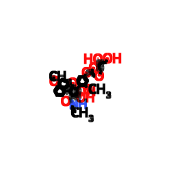 CCNC(=O)[C@H]1[C@@H](O)[C@@]2(O)c3c(OC)cc(O[C@H]4COC[C@H]([C@H](O)CO)O4)cc3O[C@@]2(c2ccc(OC)cc2)[C@@H]1c1ccccc1